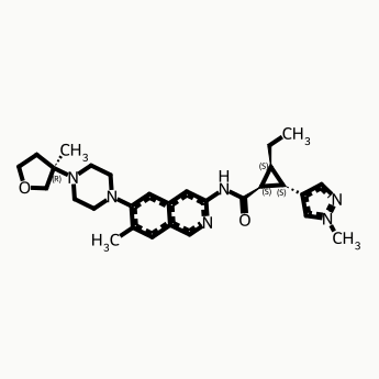 CC[C@@H]1[C@H](C(=O)Nc2cc3cc(N4CCN([C@]5(C)CCOC5)CC4)c(C)cc3cn2)[C@H]1c1cnn(C)c1